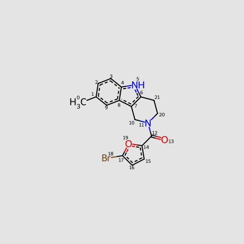 Cc1ccc2[nH]c3c(c2c1)CN(C(=O)c1ccc(Br)o1)CC3